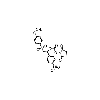 COc1ccc(S(=O)(=O)CC(OC(=O)ON2C(=O)CCC2=O)c2ccc([N+](=O)[O-])cc2)cc1